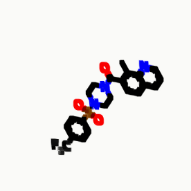 Cc1c(C(=O)N2CCN(S(=O)(=O)c3ccc(C(F)(F)F)cc3)CC2)ccc2cccnc12